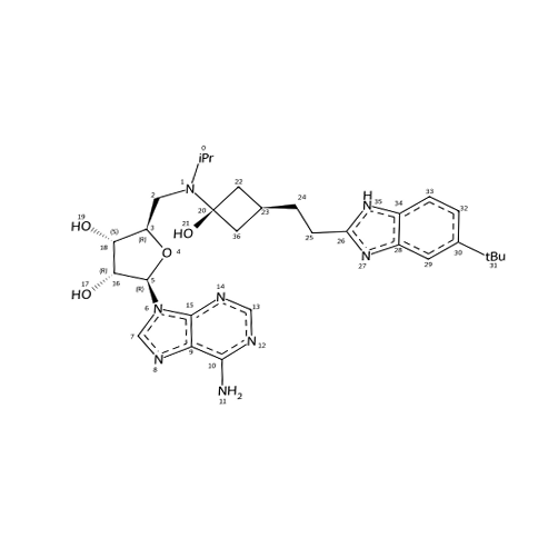 CC(C)N(C[C@H]1O[C@@H](n2cnc3c(N)ncnc32)[C@H](O)[C@@H]1O)[C@]1(O)C[C@@H](CCc2nc3cc(C(C)(C)C)ccc3[nH]2)C1